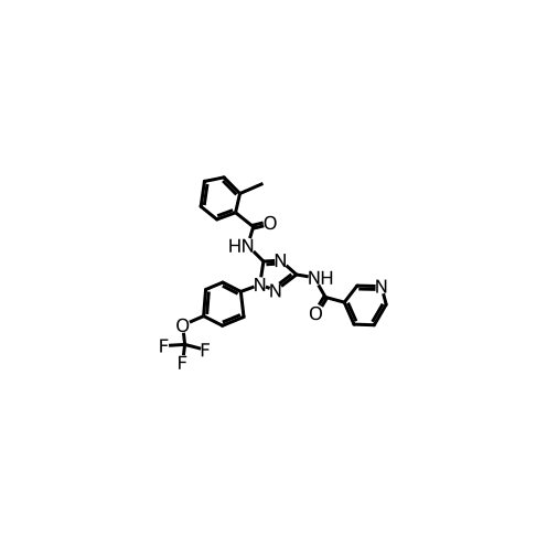 Cc1ccccc1C(=O)Nc1nc(NC(=O)c2cccnc2)nn1-c1ccc(OC(F)(F)F)cc1